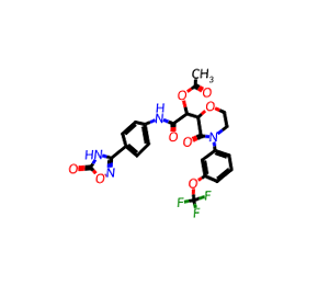 CC(=O)OC(C(=O)Nc1ccc(-c2noc(=O)[nH]2)cc1)C1OCCN(c2cccc(OC(F)(F)F)c2)C1=O